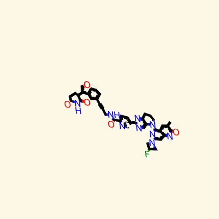 Cc1cc2c(N3CCCc4nc(-c5ccc(C(=O)NCC#Cc6ccc7occ(C8CCC(=O)NC8=O)c7c6)nc5)ncc43)nc(N3CC(F)C3)cc2n(C)c1=O